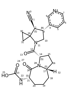 N#C[C@H]1[C@H](c2cccnc2)CN(C(=O)[C@@H]2CC[C@@H]3CCC[C@H](NC(=O)O)C(=O)N32)C12CC2